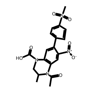 CC(=O)N1c2cc([N+](=O)[O-])c(-c3ccc(S(C)(=O)=O)cc3)cc2N(C(=O)O)CC1C